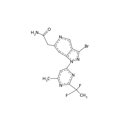 Cc1cc(-n2nc(Br)c3cnc(CC(N)=O)cc32)nc(C(C)(F)F)n1